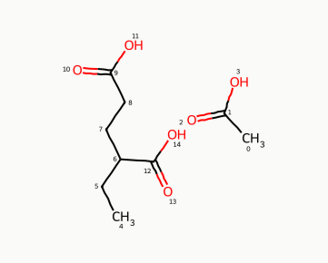 CC(=O)O.CCC(CCC(=O)O)C(=O)O